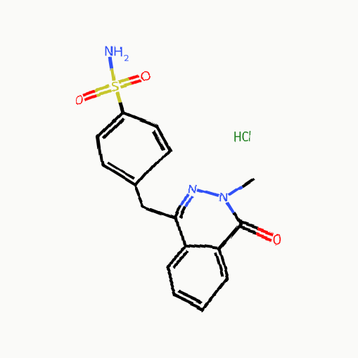 Cl.Cn1nc(Cc2ccc(S(N)(=O)=O)cc2)c2ccccc2c1=O